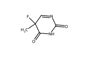 CC1(F)C=NC(=O)NC1=O